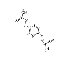 O=C(O)/C=C/c1ccc(/C=C/C(=O)O)cc1